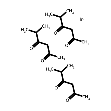 CC(=O)CC(=O)C(C)C.CC(=O)CC(=O)C(C)C.CC(=O)CC(=O)C(C)C.[Ir]